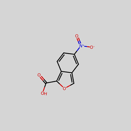 O=C(O)c1occ2cc([N+](=O)[O-])ccc12